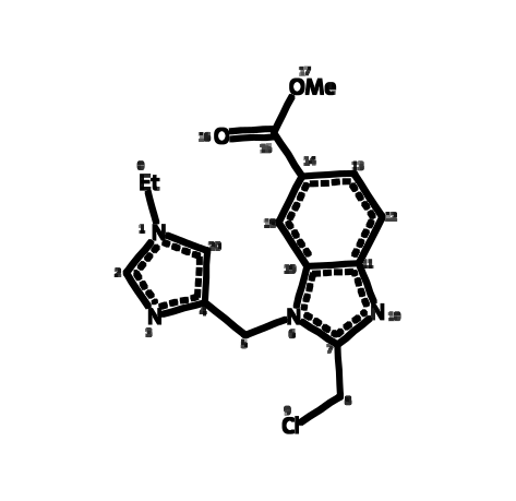 CCn1cnc(Cn2c(CCl)nc3ccc(C(=O)OC)cc32)c1